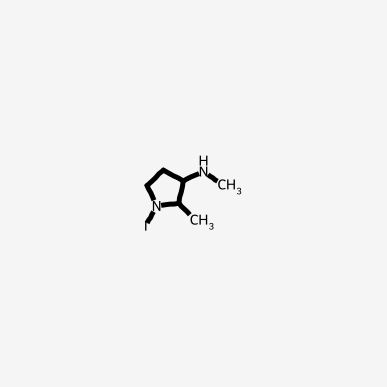 CNC1CCN(I)C1C